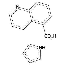 O=C(O)c1cccc2ncccc12.c1cc[nH]c1